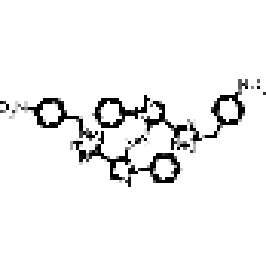 O=[N+]([O-])c1ccc(Cn2nnc(-c3cnn(-c4ccccc4)c3SSc3c(-c4nnn(Cc5ccc([N+](=O)[O-])cc5)n4)cnn3-c3ccccc3)n2)cc1